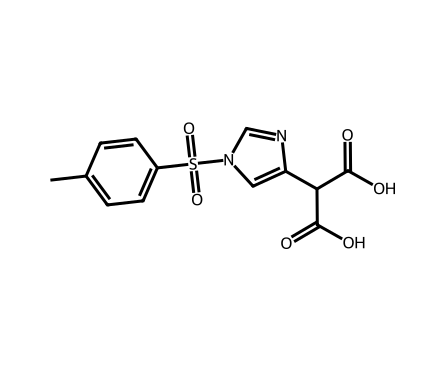 Cc1ccc(S(=O)(=O)n2cnc(C(C(=O)O)C(=O)O)c2)cc1